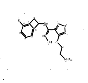 CC(=O)NCCSc1nonc1C(=NO)NC1Cc2c(F)cccc21